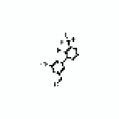 O=Cc1cc(Cl)cc(-c2cccc(C(F)(F)F)c2F)c1